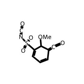 COC1C(=C=O)C=CC=C1S(=O)(=O)N=C=O